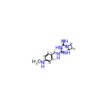 CNc1ccc(CNC(=N)NC(=N)N2CCC2)cc1